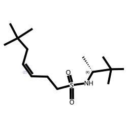 C[C@@H](NS(=O)(=O)CC/C=C\CC(C)(C)C)C(C)(C)C